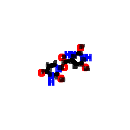 O=C(On1ccc(=O)[nH]c1=O)c1cc(=O)[nH]c(=O)[nH]1